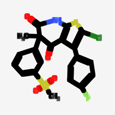 CC1(c2cccc(S(C)(=O)=O)c2)C(=O)Nc2sc(Cl)c(-c3ccc(F)cc3)c2C1=O